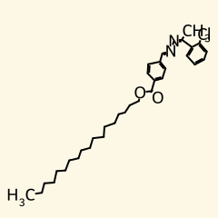 CCCCCCCCCCCCCCCCCCOC(=O)c1ccc(C=NN=C(C)c2ccccc2Cl)cc1